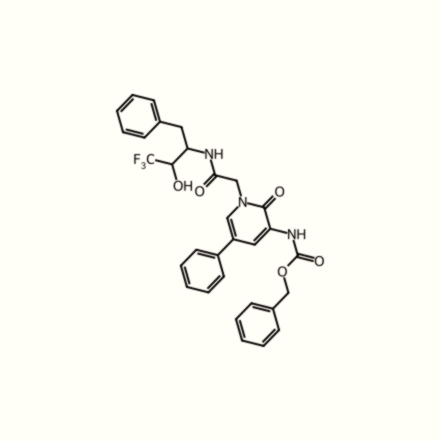 O=C(Cn1cc(-c2ccccc2)cc(NC(=O)OCc2ccccc2)c1=O)NC(Cc1ccccc1)C(O)C(F)(F)F